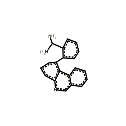 NC(N)c1ccccc1-c1cccc2ncc3ccccc3c12